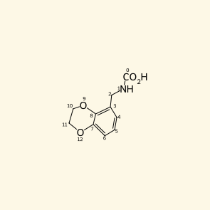 O=C(O)NCc1cccc2c1OCCO2